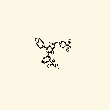 CS(=O)(=O)N1CCN(Cc2cc3nc(-c4cccc(S(N)(=O)=O)c4)nc(N4CCOCC4)c3s2)CC1